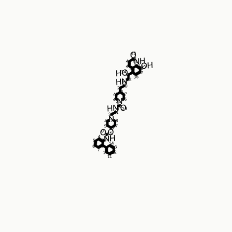 O=C(Nc1ccccc1-c1ccccc1)OC1CCN(CCNC(=O)N2CCC(CCNCC(O)c3ccc(O)c4[nH]c(=O)ccc34)CC2)CC1